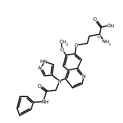 COc1cc2c(N(CC(=O)Nc3ccccc3)c3cn[nH]c3)ccnc2cc1OCC[C@H](N)C(=O)O